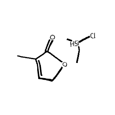 CC1=CCOC1=O.C[SiH](C)Cl